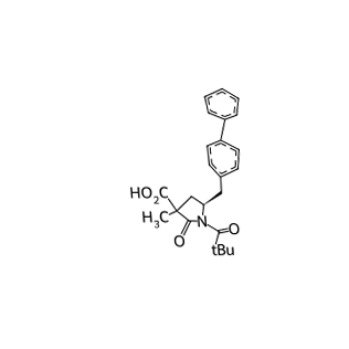 CC(C)(C)C(=O)N1C(=O)C(C)(C(=O)O)C[C@H]1Cc1ccc(-c2ccccc2)cc1